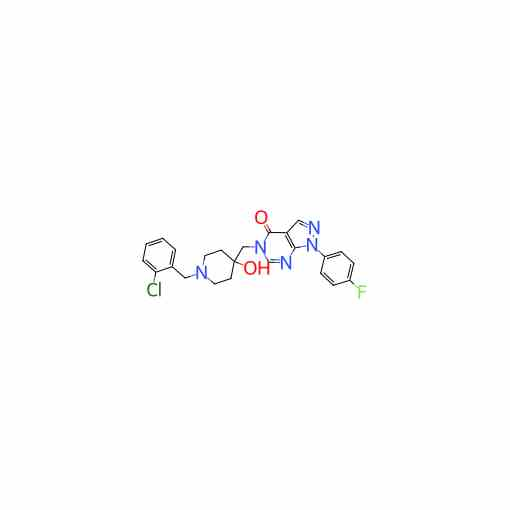 O=c1c2cnn(-c3ccc(F)cc3)c2ncn1CC1(O)CCN(Cc2ccccc2Cl)CC1